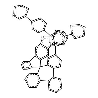 c1ccc(-c2nc(-c3ccc(-c4cccnc4)cc3)nc(-c3ccc4c(c3)C3(c5ccccc5-c5ccccc5-4)c4ccccc4-c4cc5oc6ccccc6c5cc43)n2)cc1